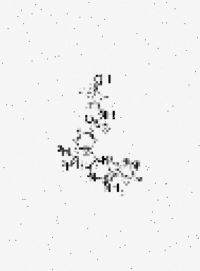 [2H]C([2H])([2H])c1ccc(S(=O)(=O)NC23CCC(O)(C2)C3)cc1-c1cnc(N)c(-c2cnco2)n1